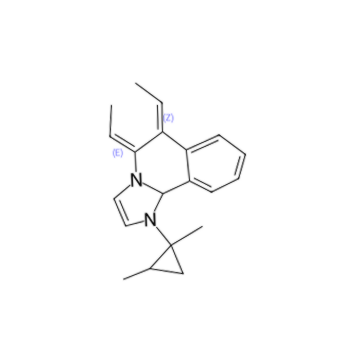 C/C=C1\C(=C/C)N2C=CN(C3(C)CC3C)C2c2ccccc21